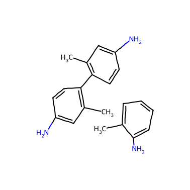 Cc1cc(N)ccc1-c1ccc(N)cc1C.Cc1ccccc1N